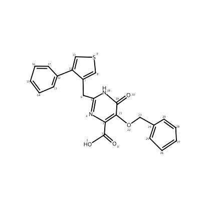 O=C(O)c1nc(Cc2cscc2-c2ccccc2)[nH]c(=O)c1OCc1ccccc1